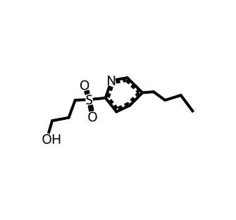 CCCCc1ccc(S(=O)(=O)CCCO)nc1